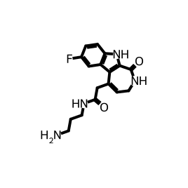 NCCCNC(=O)CC1=CCNC(=O)c2[nH]c3ccc(F)cc3c21